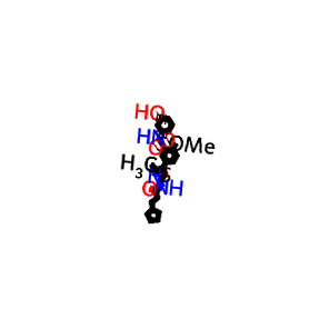 COc1ccc(-c2sc(NC(=O)CCC3CCCC3)nc2C)cc1S(=O)(=O)N[C@@H]1CCC[C@@H](O)C1